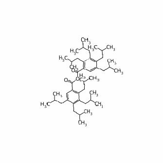 CC(C)Cc1cc(C(=O)OC(=O)c2cc(CC(C)C)c(CC(C)C)c(CC(C)C)c2CC(C)C)c(CC(C)C)c(CC(C)C)c1CC(C)C